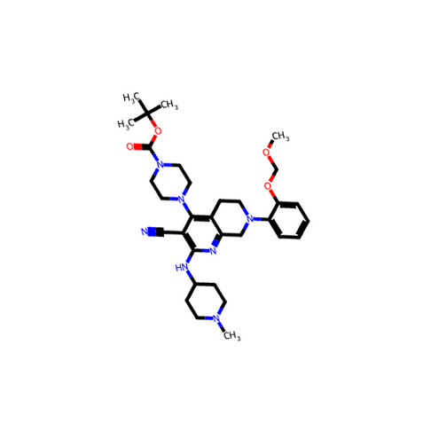 COCOc1ccccc1N1CCc2c(nc(NC3CCN(C)CC3)c(C#N)c2N2CCN(C(=O)OC(C)(C)C)CC2)C1